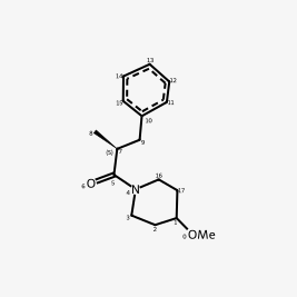 COC1CCN(C(=O)[C@@H](C)Cc2ccccc2)CC1